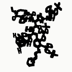 CCN1CCN(C(=O)NC(C(=O)NC(Cc2ccc(SCCN3CCCC3)c(C(=O)OC(C)(C)C)c2OC(=O)OC(C)(C)C)B2O[C@@H]3C[C@@H]4C[C@@H](C4(C)C)[C@]3(C)O2)c2csc(NC(=O)OC(C)(C)C)n2)C(=O)C1=O